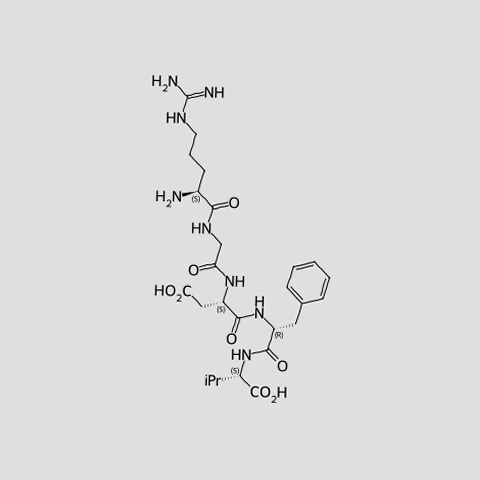 CC(C)[C@H](NC(=O)[C@@H](Cc1ccccc1)NC(=O)[C@H](CC(=O)O)NC(=O)CNC(=O)[C@@H](N)CCCNC(=N)N)C(=O)O